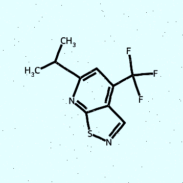 CC(C)c1cc(C(F)(F)F)c2cnsc2n1